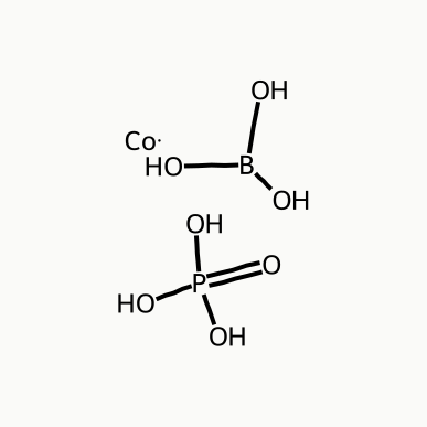 O=P(O)(O)O.OB(O)O.[Co]